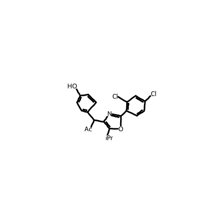 CC(=O)C(c1ccc(O)cc1)c1nc(-c2ccc(Cl)cc2Cl)oc1C(C)C